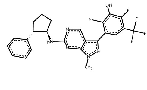 Cn1nc(-c2cc(C(F)(F)F)c(F)c(O)c2F)c2cnc(N[C@@H]3CCC[C@H]3c3ccccc3)nc21